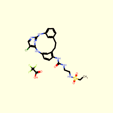 CCS(=O)(=O)NCCNC(=O)Nc1ccc2cc1CCc1cccc(c1)Nc1ncc(Cl)c(n1)N2.O=C(O)C(F)(F)F